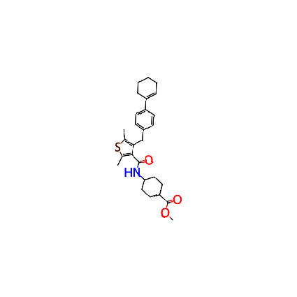 COC(=O)C1CCC(NC(=O)c2c(C)sc(C)c2Cc2ccc(C3=CCCCC3)cc2)CC1